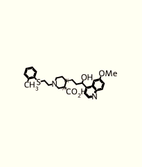 COc1ccc2nccc(C(O)CC[C@@H]3CCN(CCSc4ccccc4C)C[C@@H]3C(=O)O)c2c1